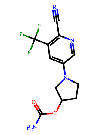 N#Cc1ncc(N2CCC(OC(N)=O)C2)cc1C(F)(F)F